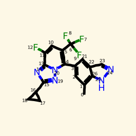 Cc1cc(-c2c(C(F)(F)F)cc(F)c3nc(C4CC4)nn23)cc2cn[nH]c12